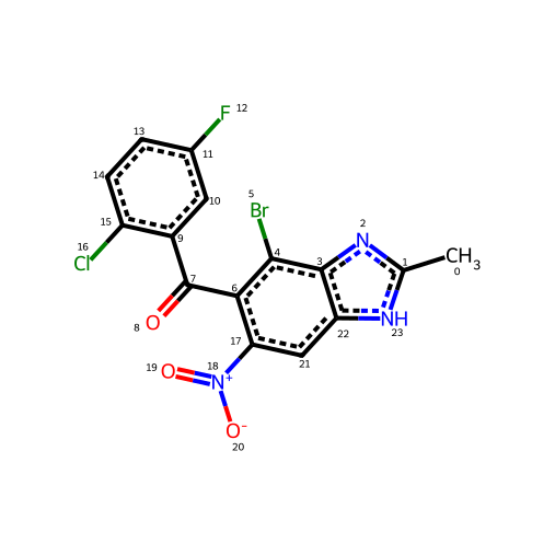 Cc1nc2c(Br)c(C(=O)c3cc(F)ccc3Cl)c([N+](=O)[O-])cc2[nH]1